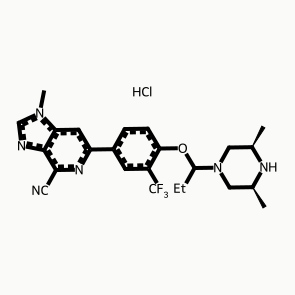 CCC(Oc1ccc(-c2cc3c(ncn3C)c(C#N)n2)cc1C(F)(F)F)N1C[C@@H](C)N[C@@H](C)C1.Cl